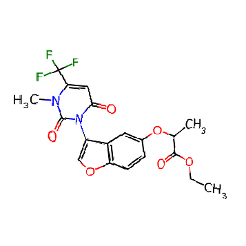 CCOC(=O)C(C)Oc1ccc2occ(-n3c(=O)cc(C(F)(F)F)n(C)c3=O)c2c1